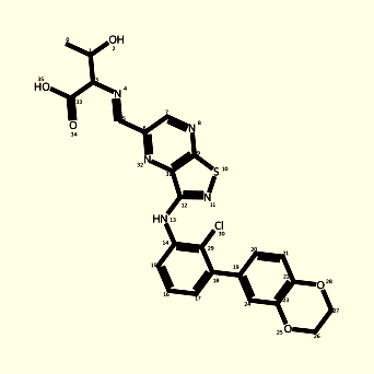 CC(O)C(N=Cc1cnc2snc(Nc3cccc(-c4ccc5c(c4)OCCO5)c3Cl)c2n1)C(=O)O